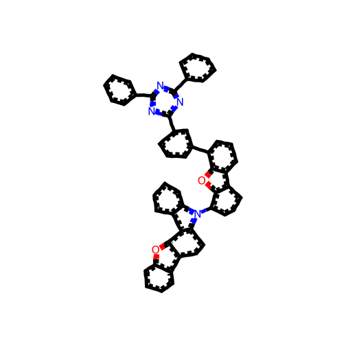 c1ccc(-c2nc(-c3ccccc3)nc(-c3cccc(-c4cccc5c4oc4c(-n6c7ccccc7c7c8oc9ccccc9c8ccc76)cccc45)c3)n2)cc1